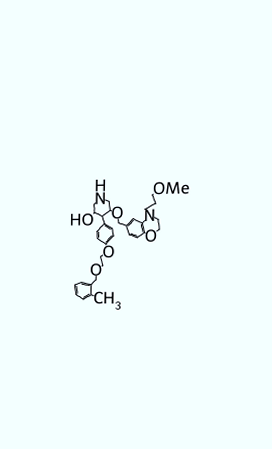 COCCCN1CCOc2ccc(COC3CNCC(O)C3c3ccc(OCCOCc4ccccc4C)cc3)cc21